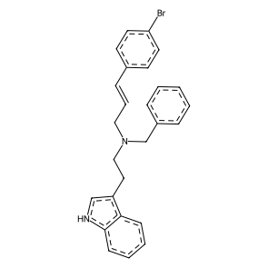 Brc1ccc(/C=C/CN(CCc2c[nH]c3ccccc23)Cc2ccccc2)cc1